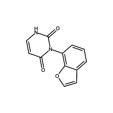 O=c1cc[nH]c(=O)n1-c1cccc2ccoc12